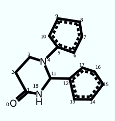 O=C1CCN(c2ccccc2)C(c2ccccc2)N1